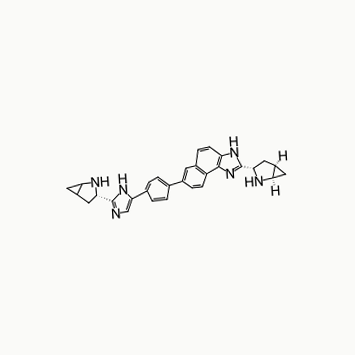 c1cc(-c2cnc([C@@H]3CC4CC4N3)[nH]2)ccc1-c1ccc2c(ccc3[nH]c([C@@H]4C[C@H]5C[C@H]5N4)nc32)c1